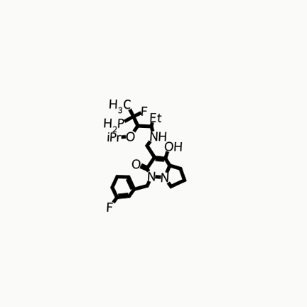 CCC(NCC1=C(O)C2CCCN2N(CC2=CCCC(F)=C2)C1=O)C(OC(C)C)C(C)(F)P